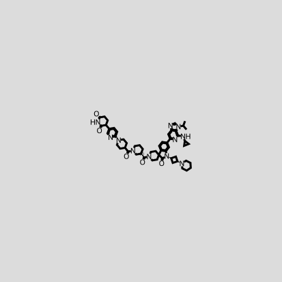 CC(C)n1cnc2cc(-c3ccc4c(c3)N([C@H]3C[C@@H](N5CCCCC5)C3)C(=O)C43CCN(C(=O)[C@@H]4CCCN(C(=O)C5CCN(c6ccc(C7CCC(=O)NC7=O)cn6)CC5)C4)CC3)nc(NC3CC3)c21